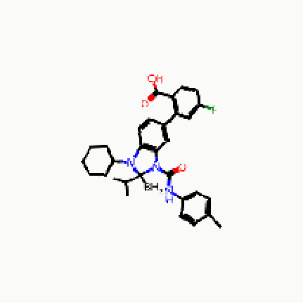 BC1(C(C)C)N(C(=O)Nc2ccc(C)cc2)c2cc(-c3cc(F)ccc3C(=O)O)ccc2N1C1CCCCC1